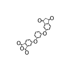 O=C1CC(=O)c2cc(Oc3cccc(Oc4ccc5c(c4)C(=O)OC5=O)c3)ccc21